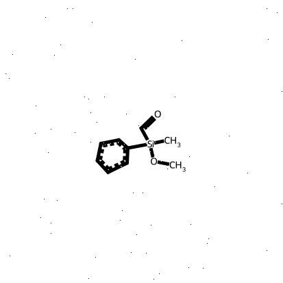 CO[Si](C)(C=O)c1ccccc1